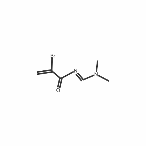 C=C(Br)C(=O)/N=C/N(C)C